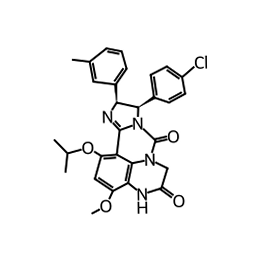 COc1cc(OC(C)C)c2c3c1NC(=O)CN3C(=O)N1C2=N[C@@H](c2cccc(C)c2)[C@H]1c1ccc(Cl)cc1